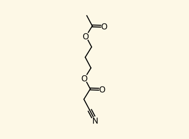 CC(=O)OCCCOC(=O)CC#N